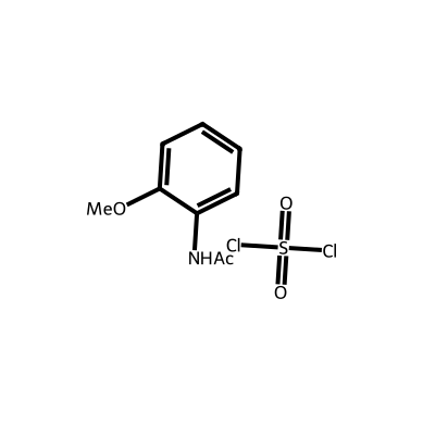 COc1ccccc1NC(C)=O.O=S(=O)(Cl)Cl